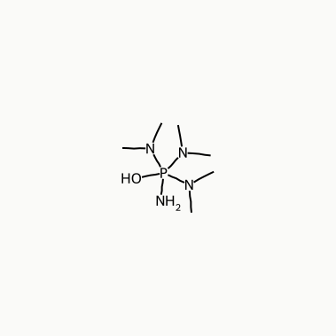 CN(C)P(N)(O)(N(C)C)N(C)C